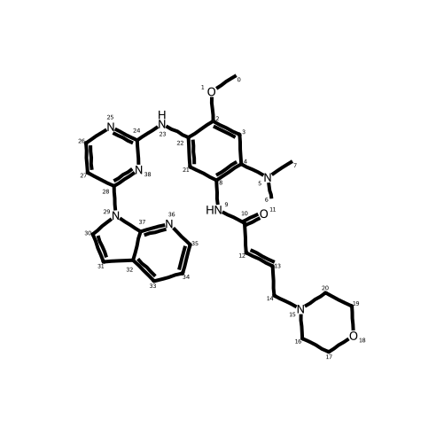 COc1cc(N(C)C)c(NC(=O)/C=C/CN2CCOCC2)cc1Nc1nccc(-n2ccc3cccnc32)n1